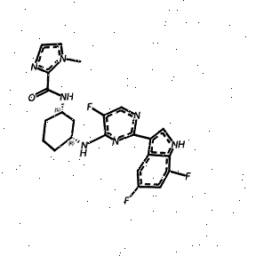 Cn1ccnc1C(=O)N[C@H]1CCC[C@@H](Nc2nc(-c3c[nH]c4c(F)cc(F)cc34)ncc2F)C1